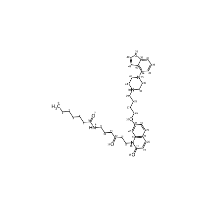 CCCCCCC(=O)NCCCC(=O)CCn1c(=O)ccc2ccc(OCCCCN3CCN(c4cccc5sccc45)CC3)cc21